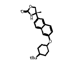 CC(C)(C)C1CCC(Oc2ccc3cc([C@@]4(C)COC(=O)N4)ccc3c2)CC1